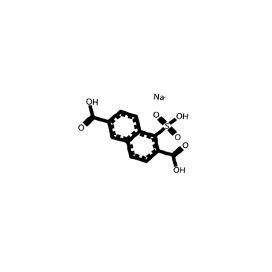 O=C(O)c1ccc2c(S(=O)(=O)O)c(C(=O)O)ccc2c1.[Na]